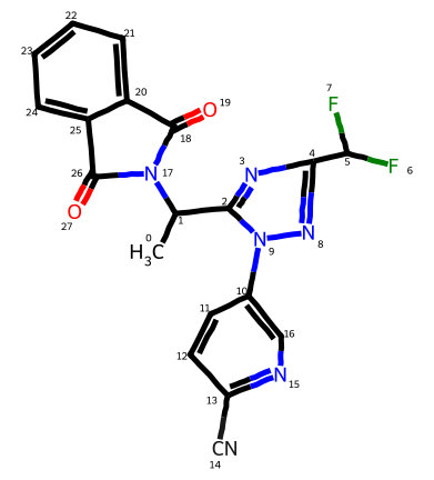 CC(c1nc(C(F)F)nn1-c1ccc(C#N)nc1)N1C(=O)c2ccccc2C1=O